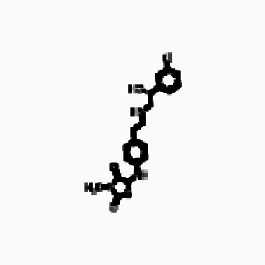 CN1C(=O)SC(Nc2ccc(CCNC[C@H](O)c3cccc(Cl)c3)cc2)C1=O